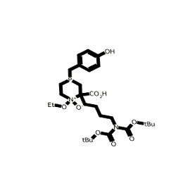 CCO[N+]1([O-])CCP(Cc2ccc(O)cc2)CC1(CCCCN(C(=O)OC(C)(C)C)C(=O)OC(C)(C)C)C(=O)O